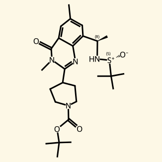 Cc1cc([C@@H](C)N[S@+]([O-])C(C)(C)C)c2nc(C3CCN(C(=O)OC(C)(C)C)CC3)n(C)c(=O)c2c1